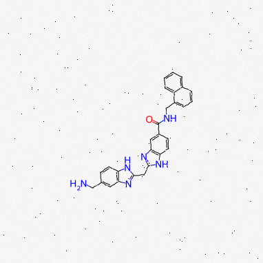 NCc1ccc2[nH]c(Cc3nc4cc(C(=O)NCc5cccc6ccccc56)ccc4[nH]3)nc2c1